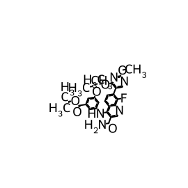 COc1ncc(-c2ccc3c(Nc4cc(OC(C)C)cc(C(=O)OC(C)C)c4)c(C(N)=O)cnc3c2F)c(OC)n1